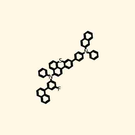 Fc1cc(-c2cccc3ccccc23)cc(N(c2ccccc2)c2ccc3c4c(cccc24)Sc2cc(-c4ccc(N(c5ccccc5)c5ccc6ccccc6c5)cc4)ccc2-3)c1